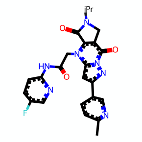 Cc1ccc(-c2cc3n(CC(=O)Nc4ccc(F)cn4)c4c(c(=O)n3n2)CN(C(C)C)C4=O)cn1